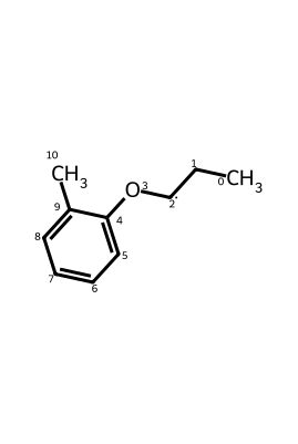 CC[CH]Oc1ccccc1C